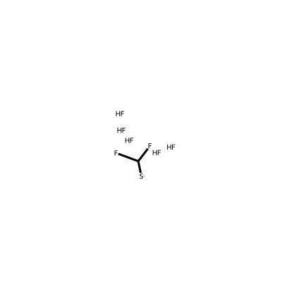 F.F.F.F.F.FC(F)[S]